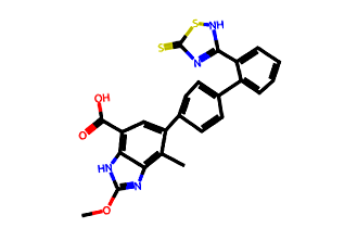 COc1nc2c(C)c(-c3ccc(-c4ccccc4-c4nc(=S)s[nH]4)cc3)cc(C(=O)O)c2[nH]1